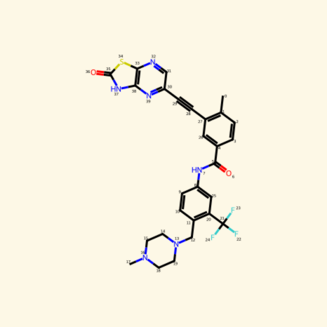 Cc1ccc(C(=O)Nc2ccc(CN3CCN(C)CC3)c(C(F)(F)F)c2)cc1C#Cc1cnc2sc(=O)[nH]c2n1